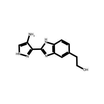 Nc1c[nH]nc1-c1nc2cc(CCO)ccc2[nH]1